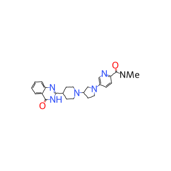 CNC(=O)c1ccc(N2CCC(N3CCC(c4nc5ccccc5c(=O)[nH]4)CC3)C2)cn1